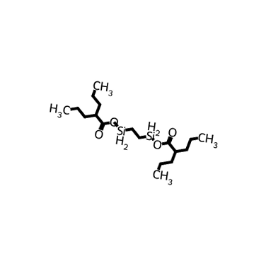 CCCC(CCC)C(=O)O[SiH2]CC[SiH2]OC(=O)C(CCC)CCC